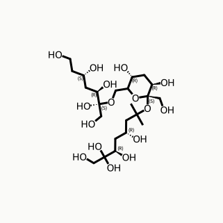 CC(C)(C[C@H](O)C[C@@H](O)C(O)(O)CO)O[C@]1(CO)OC(CO[C@@](O)(CO)[C@H](O)C[C@@H](O)CCO)[C@H](O)C[C@H]1O